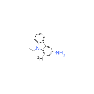 [2H]c1cc(N)cc2c3ccccc3n(CC)c12